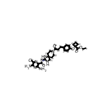 CCOC(=O)C1(Oc2ccc(CCC(=O)N3CCC4(CC3)CN/C(=N\C(=O)c3nc(Cl)c(N)nc3N)N4)cc2)CCC1